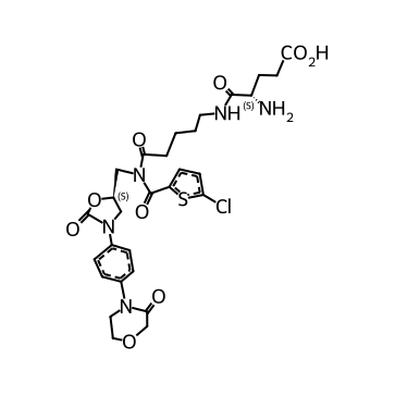 N[C@@H](CCC(=O)O)C(=O)NCCCCC(=O)N(C[C@H]1CN(c2ccc(N3CCOCC3=O)cc2)C(=O)O1)C(=O)c1ccc(Cl)s1